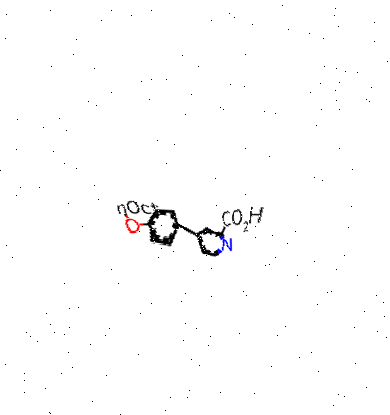 CCCCCCCCOc1ccc(-c2ccnc(C(=O)O)c2)cc1